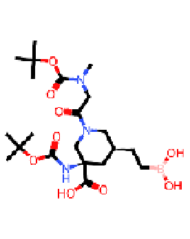 CN(CC(=O)N1C[C@@H](CCB(O)O)C[C@](NC(=O)OC(C)(C)C)(C(=O)O)C1)C(=O)OC(C)(C)C